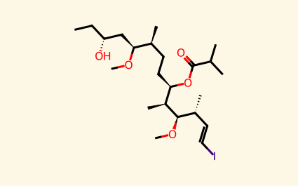 CC[C@@H](O)C[C@H](OC)[C@@H](C)CC[C@@H](OC(=O)C(C)C)[C@H](C)[C@H](OC)[C@H](C)/C=C/I